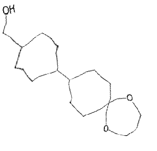 OCC1CCC(C2CCC3(CC2)OCCO3)CC1